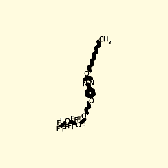 CCCCCCCCCCCOc1cnc(-c2ccc(OCCCCOCC(F)(F)OC(F)(F)C(F)(F)OC(F)(F)C(F)(F)F)cc2)nc1